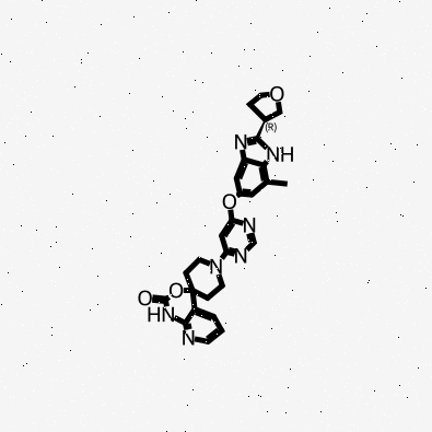 Cc1cc(Oc2cc(N3CCC4(CC3)OC(=O)Nc3ncccc34)ncn2)cc2nc([C@H]3CCOC3)[nH]c12